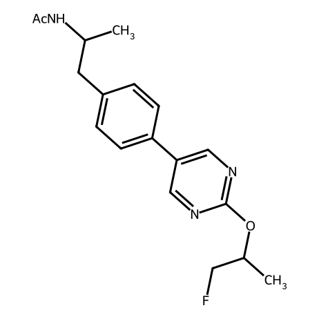 CC(=O)NC(C)Cc1ccc(-c2cnc(OC(C)CF)nc2)cc1